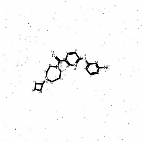 [C-]#[N+]c1cccc(Oc2ccc(C(=O)N3CCCN(C4CCC4)CC3)cn2)c1